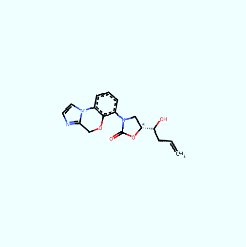 C=CCC(O)[C@H]1CN(c2cccc3c2OCC2=NC=C[N+]23)C(=O)O1